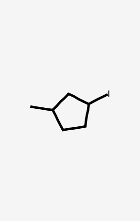 CC1CCC(I)C1